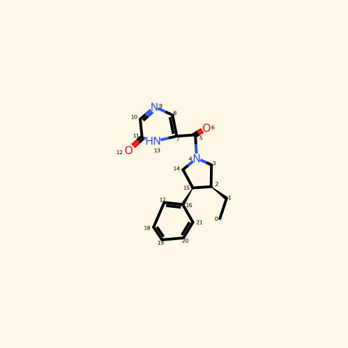 CC[C@@H]1CN(C(=O)c2cncc(=O)[nH]2)C[C@@H]1c1ccccc1